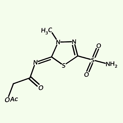 CC(=O)OCC(=O)/N=c1\sc(S(N)(=O)=O)nn1C